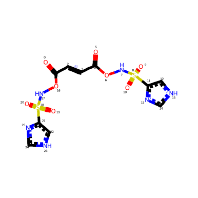 O=C(/C=C/C(=O)ONS(=O)(=O)c1c[nH]cn1)ONS(=O)(=O)c1c[nH]cn1